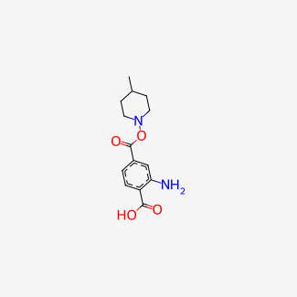 CC1CCN(OC(=O)c2ccc(C(=O)O)c(N)c2)CC1